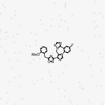 COc1ccccc1Cc1nc(-c2ncn3c2Cn2ncnc2-c2cc(F)ccc2-3)no1